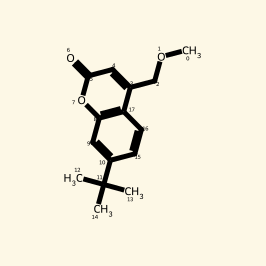 COCc1cc(=O)oc2cc(C(C)(C)C)ccc12